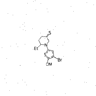 CCC1CCC(=S)CN1c1cc(Br)c(C#N)s1